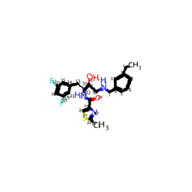 CCc1cccc(CNC[C@H](O)[C@H](Cc2cc(F)cc(F)c2)NC(=O)c2csc(C)n2)c1